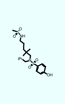 CC(C)CN(CC(C)(C)CCCNS(C)(=O)=O)S(=O)(=O)c1ccc(O)cc1